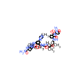 COc1c(Nc2ncc3c(n2)-c2c(c(C(N)=O)nn2C)CC3)cc(N2CCN(C)CC2)cc1C(=O)NCCOC(C)(C)CCOC(C)(C)CCNc1cccc2c1C(=O)N(C1CCC(=O)NC1=O)C2=O